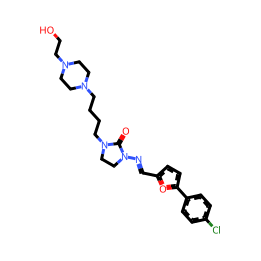 O=C1N(CCCCN2CCN(CCO)CC2)CCN1N=Cc1ccc(-c2ccc(Cl)cc2)o1